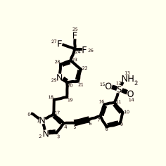 Cn1ncc(C#Cc2cccc(S(N)(=O)=O)c2)c1CCc1ccc(C(F)(F)F)cn1